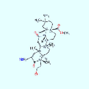 COC(=O)[C@]12CCC(C)(C)C[C@H]1[C@H]1C(=O)C=C3[C@@]4(C)C=C(C#N)C(=O)[C@@](C)(CCO)[C@@H]4CC[C@@]3(C)[C@]1(C)CC2